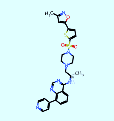 Cc1cc(-c2ccc(S(=O)(=O)N3CCN(C[C@H](C)Nc4ncnc5c(-c6ccncc6)cccc45)CC3)s2)on1